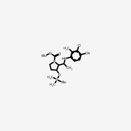 Cc1c(NC(C)C2C(O[Si](C)(C)C(C)(C)C)CCN2C(=O)OC(C)(C)C)ccc(C#N)c1Cl